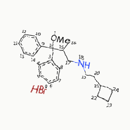 Br.COC(c1ccccc1)(c1ccccc1)C(C)CNCCC1CCC1